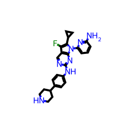 Nc1cccc(-n2c(C3CC3)c(F)c3cnc(Nc4ccc(C5CCNCC5)cc4)nc32)n1